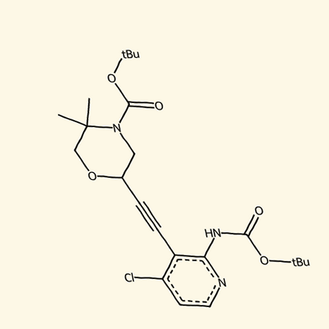 CC(C)(C)OC(=O)Nc1nccc(Cl)c1C#CC1CN(C(=O)OC(C)(C)C)C(C)(C)CO1